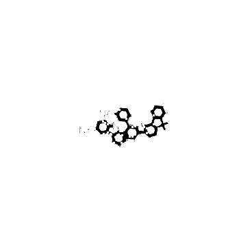 CC1(C)c2ccccc2-c2c1ccc1c2sc2c(-c3cccc(C#N)c3-n3c4ccccc4c4cc(C#N)ccc43)cccc21